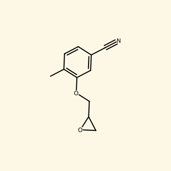 Cc1ccc(C#N)cc1OCC1CO1